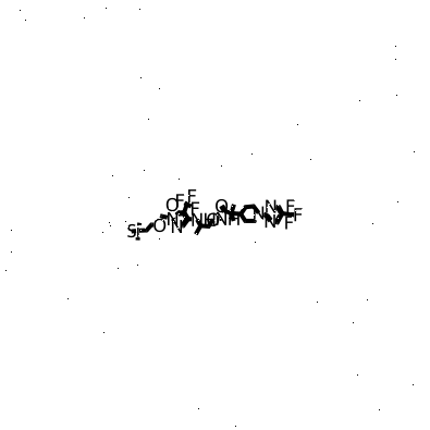 CC(CONC(=O)C(C)(C)C1CCN(c2ncc(C(F)(F)F)cn2)CC1)Nc1cnn(COCC[Si](C)(C)C)c(=O)c1C(F)(F)F